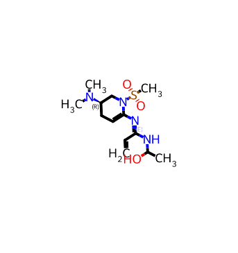 C=C/C(=N\C1=CC[C@@H](N(C)C)CN1S(C)(=O)=O)NC(C)O